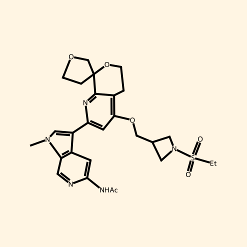 CCS(=O)(=O)N1CC(COc2cc(-c3cn(C)c4cnc(NC(C)=O)cc34)nc3c2CCOC32CCOC2)C1